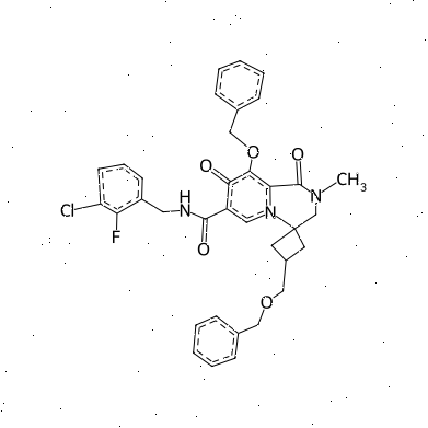 CN1CC2(CC(COCc3ccccc3)C2)n2cc(C(=O)NCc3cccc(Cl)c3F)c(=O)c(OCc3ccccc3)c2C1=O